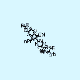 CCCn1c(-c2ncc(S(=O)(=O)NC(CF)CF)cn2)c(C#N)c2ccc(OC(F)F)cc21